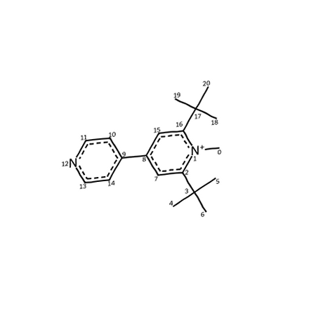 C[n+]1c(C(C)(C)C)cc(-c2ccncc2)cc1C(C)(C)C